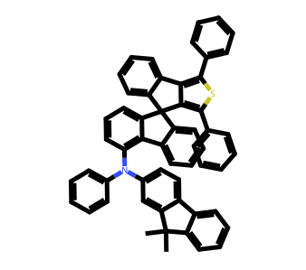 CC1(C)c2ccccc2-c2ccc(N(c3ccccc3)c3cccc4c3-c3ccccc3C43c4ccccc4-c4c(-c5ccccc5)sc(-c5ccccc5)c43)cc21